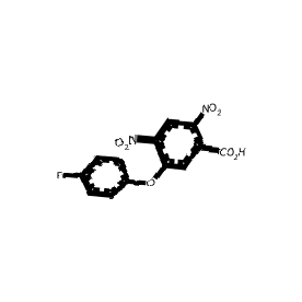 O=C(O)c1cc(Oc2ccc(F)cc2)c([N+](=O)[O-])cc1[N+](=O)[O-]